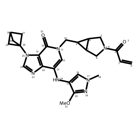 C=CC(=O)N1CC2C(C1)C2Cn1cc(Nc2cn(C)nc2OC)c2ncn(C34CC(C3)C4)c2c1=O